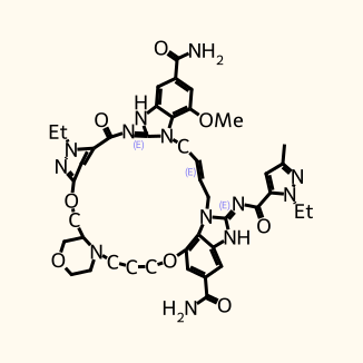 CCn1nc(C)cc1C(=O)/N=c1\[nH]c2cc(C(N)=O)cc3c2n1C/C=C/CN1/C(=N/C(=O)c2cc(nn2CC)OCC2COCCN2CCCO3)Nc2cc(C(N)=O)cc(OC)c21